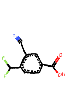 N#Cc1cc(C(=O)O)ccc1C(F)F